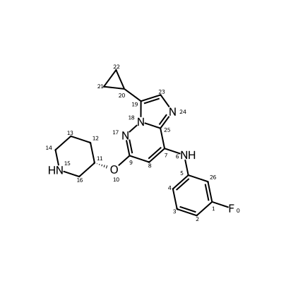 Fc1cccc(Nc2cc(O[C@H]3CCCNC3)nn3c(C4CC4)cnc23)c1